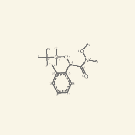 CON(C)C(=O)[C@H](O[Si](C)(C)C(C)(C)C)c1ccccc1C